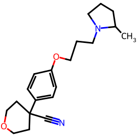 CC1CCCN1CCCOc1ccc(C2(C#N)CCOCC2)cc1